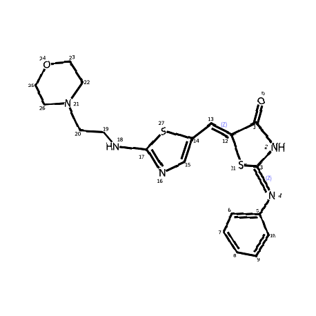 O=C1N/C(=N/c2ccccc2)S/C1=C\c1cnc(NCCN2CCOCC2)s1